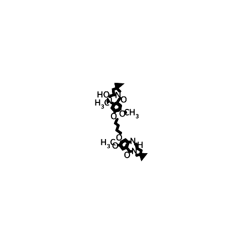 COc1cc2c(cc1OCCCCCOc1cc3c(cc1OC)C(=O)N1CC4(CC4)CC1C(O)N3C)N=C[C@@H]1CC3(CC3)CN1C2=O